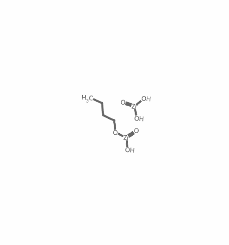 CCCC[O][Zr](=[O])[OH].[O]=[Zr]([OH])[OH]